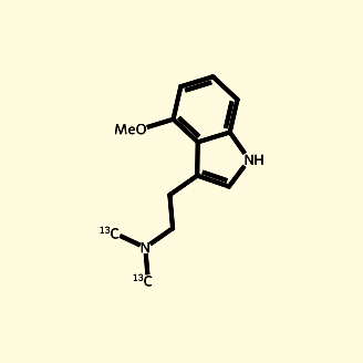 COc1cccc2[nH]cc(CCN([13CH3])[13CH3])c12